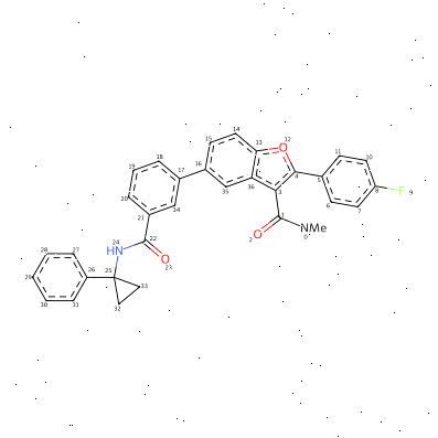 CNC(=O)c1c(-c2ccc(F)cc2)oc2ccc(-c3cccc(C(=O)NC4(c5ccccc5)CC4)c3)cc12